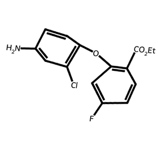 CCOC(=O)c1ccc(F)cc1Oc1ccc(N)cc1Cl